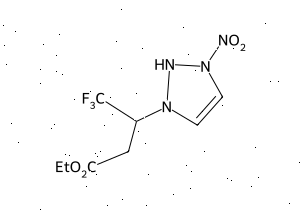 CCOC(=O)CC(N1C=CN([N+](=O)[O-])N1)C(F)(F)F